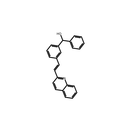 OC(c1ccccc1)c1cccc(C=Cc2ccc3ccccc3n2)c1